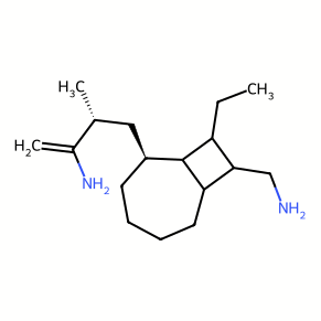 C=C(N)[C@H](C)C[C@@H]1CCCCC2C(CN)C(CC)C21